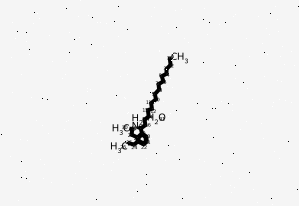 CCCCCCCCCCCCCCCCCC(N)c1cccc(CCC)c1CCC.O